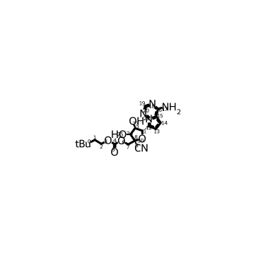 CC(C)(C)CCOC(=O)OC[C@@]1(C#N)O[C@@H](c2ccc3c(N)ncnn23)[C@H](O)[C@@H]1O